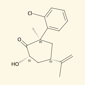 C=C(C)[C@@H]1C[C@H](O)C(=O)[C@@](C)(c2ccccc2Cl)C1